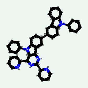 c1ccc(-n2c3ccccc3c3cc(-c4ccc5c(c4)c4nc(-c6ccccn6)nc(-c6ccccn6)c4n5-c4ccccc4)ccc32)cc1